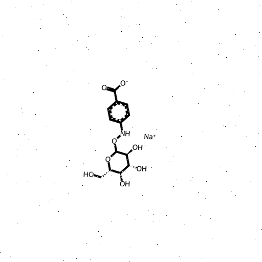 O=C([O-])c1ccc(NOC2O[C@@H](CO)[C@H](O)[C@@H](O)[C@@H]2O)cc1.[Na+]